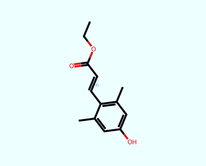 CCOC(=O)/C=C/c1c(C)cc(O)cc1C